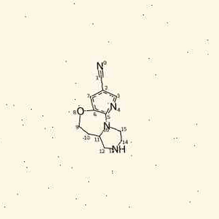 N#Cc1cnc2c(c1)OCCC1CNCCN21